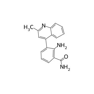 Cc1cc(-c2cccc(C(N)=O)c2N)c2ccccc2n1